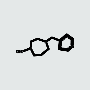 O=CN1CCCN(Cc2ccncc2)CC1